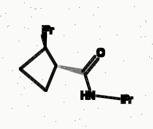 CC(C)NC(=O)[C@@H]1CC[C@H]1C(C)C